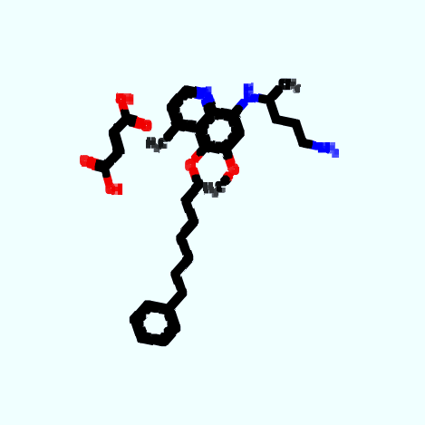 COc1cc(NC(C)CCCN)c2nccc(C)c2c1OCCCCCCCc1ccccc1.O=C(O)C=CC(=O)O